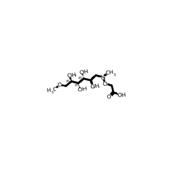 COC[C@@H](O)[C@@H](O)[C@H](O)C(O)CN(C)OCC(=O)O